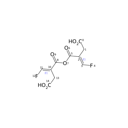 O=C(O)C/C(=C\F)C(=O)OC(=O)/C(=C/F)CC(=O)O